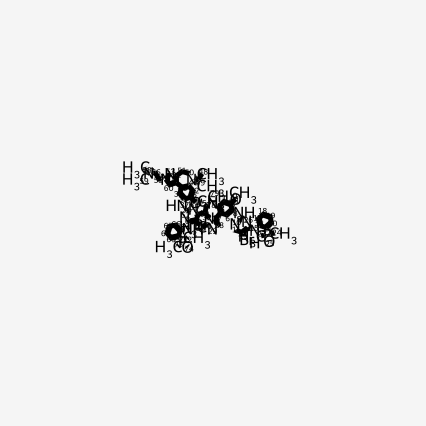 COc1cc2c(cc1Nc1ncc(Br)c(Nc3ccccc3P(C)(C)=O)n1)-c1cnc(C)n1C(c1nc(Nc3cc4c(cc3OC)N(C(C)C)CCc3nn(CCN(C)C)cc3-4)nc(Nc3ccccc3P(C)(C)=O)c1Br)CN2C